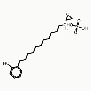 C1CO1.CCCCCCCCCCCCc1ccccc1O.O=S(=O)(O)O